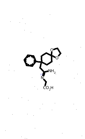 N/C(CC1(c2ccccc2)CCC2(CC1)OCCO2)=N\CC(=O)O